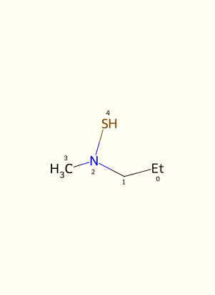 CCCN(C)S